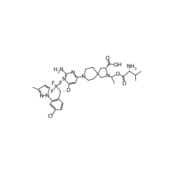 Cc1ccn(-c2cc(Cl)ccc2[C@@H](Oc2cc(N3CCC4(CC3)C[C@@H](C(=O)O)N(C(C)OC(=O)[C@H](N)C(C)C)C4)nc(N)n2)C(F)(F)F)n1